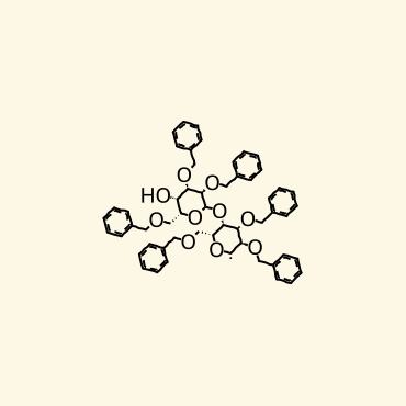 O[C@@H]1[C@H](OCc2ccccc2)[C@@H](OCc2ccccc2)C(O[C@@H]2[C@H](OCc3ccccc3)[C@@H](OCc3ccccc3)[CH]O[C@@H]2COCc2ccccc2)O[C@@H]1COCc1ccccc1